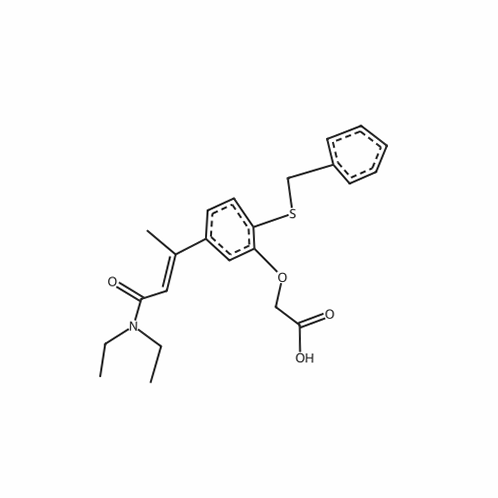 CCN(CC)C(=O)C=C(C)c1ccc(SCc2ccccc2)c(OCC(=O)O)c1